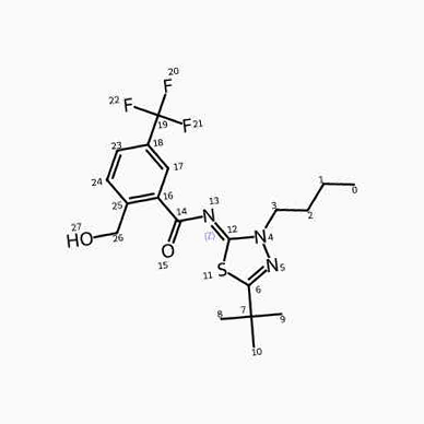 CCCCn1nc(C(C)(C)C)s/c1=N\C(=O)c1cc(C(F)(F)F)ccc1CO